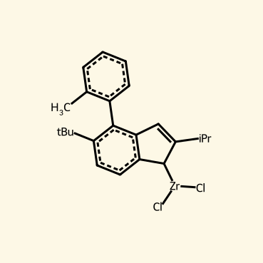 Cc1ccccc1-c1c(C(C)(C)C)ccc2c1C=C(C(C)C)[CH]2[Zr]([Cl])[Cl]